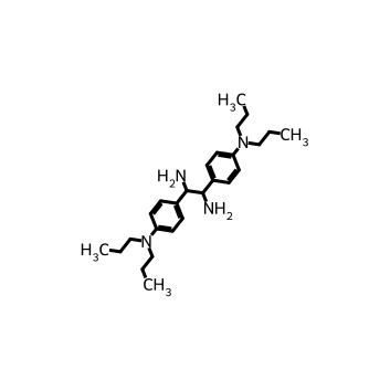 CCCN(CCC)c1ccc(C(N)C(N)c2ccc(N(CCC)CCC)cc2)cc1